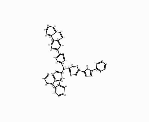 c1ccc(-c2ccc(-c3ccc(N(c4ccc(-c5ccc6c(ccc7ccccc76)c5)cc4)c4cc5c6c(cccc6c4)-c4ccccc4-5)cc3)s2)cc1